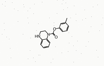 Cc1cccc(OC(=O)N2CCNc3ccccc32)c1